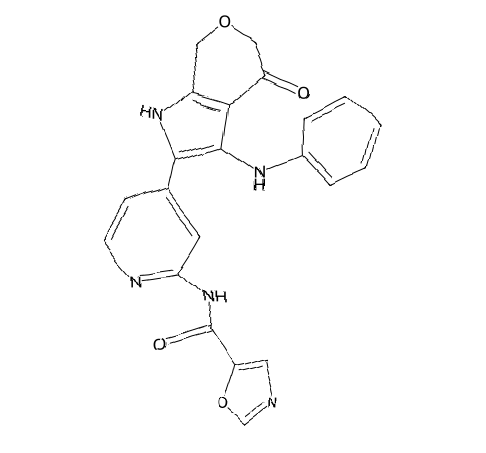 O=C(Nc1cc(-c2[nH]c3c(c2Nc2ccccc2)C(=O)COC3)ccn1)c1cnco1